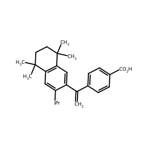 C=C(c1ccc(C(=O)O)cc1)c1cc2c(cc1C(C)C)C(C)(C)CCC2(C)C